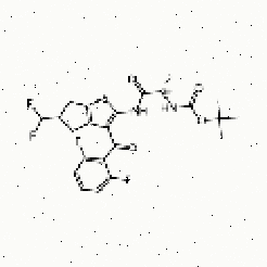 C[C@H](NC(=O)OC(C)(C)C)C(=O)Nc1sc2c(c1C(=O)c1c(F)cccc1F)CC(C(F)F)C2